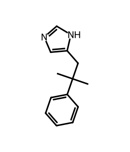 CC(C)(Cc1cnc[nH]1)c1ccccc1